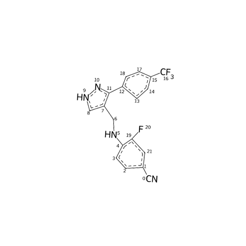 N#Cc1ccc(NCc2c[nH]nc2-c2ccc(C(F)(F)F)cc2)c(F)c1